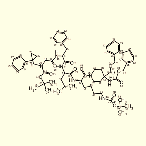 CC(C)CC(NC(=O)C(Cc1ccccc1)NC(=O)CN(CC1(c2ccccc2)CC1)C(=O)OC(C)(C)C)C(=O)NC(CCCCNC(=O)OC(C)(C)C)C(=O)N1CCC(NC(=O)OCc2ccccc2)(C(=O)OCc2ccccc2)CC1